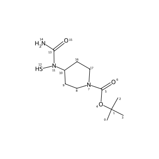 CC(C)(C)OC(=O)N1CCC(N(S)C(N)=O)CC1